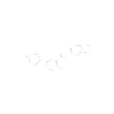 Cc1ncc(-c2ccc(F)cc2)cc1C(=O)Nc1ccc2nc[nH]c2c1